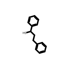 SC(CCc1ccccc1)c1ccccc1